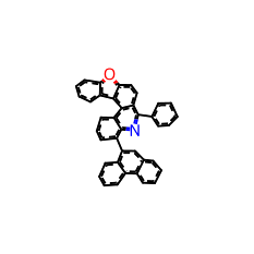 c1ccc(-c2nc3c(-c4cc5ccccc5c5ccccc45)cccc3c3c2ccc2oc4ccccc4c23)cc1